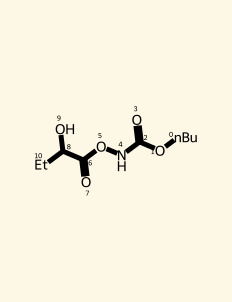 CCCCOC(=O)NOC(=O)C(O)CC